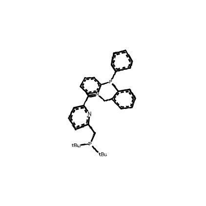 CC(=NCc1ccccc1P(c1ccccc1)c1ccccc1)c1cccc(CP(C(C)(C)C)C(C)(C)C)n1